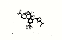 CC(C)C(=O)N1CCN(c2cc(S(N)(=O)=O)cc3c2c(C2(C#N)COC2)nn3-c2nnc(C(F)F)s2)CC1